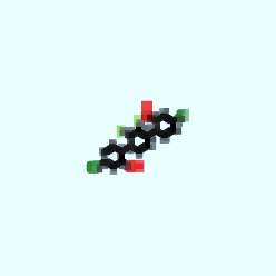 Oc1cc(Cl)ccc1-c1ccc(-c2ccc(Cl)cc2O)c(F)c1F